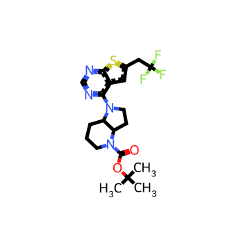 CC(C)(C)OC(=O)N1CCCC2C1CCN2c1ncnc2sc(CC(F)(F)F)cc12